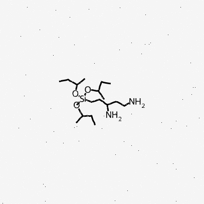 CCC(C)O[Si](CCC(N)CCN)(OC(C)CC)OC(C)CC